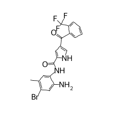 Cc1cc(NC(=O)c2cc(C(=O)c3ccccc3C(F)(F)F)c[nH]2)c(N)cc1Br